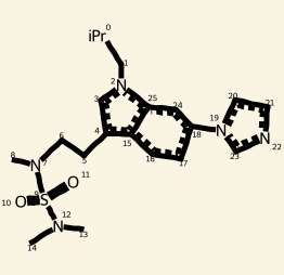 CC(C)Cn1cc(CCN(C)S(=O)(=O)N(C)C)c2ccc(-n3ccnc3)cc21